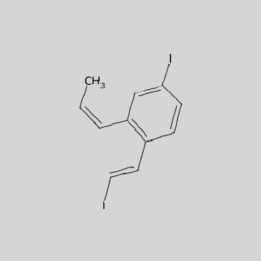 C/C=C\c1cc(I)ccc1/C=C/I